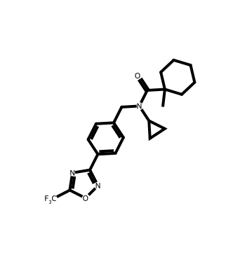 CC1(C(=O)N(Cc2ccc(-c3noc(C(F)(F)F)n3)cc2)C2CC2)CCCCC1